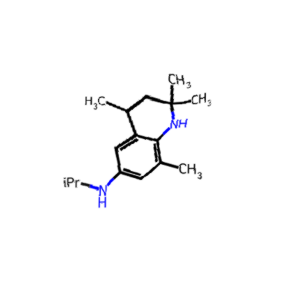 Cc1cc(NC(C)C)cc2c1NC(C)(C)CC2C